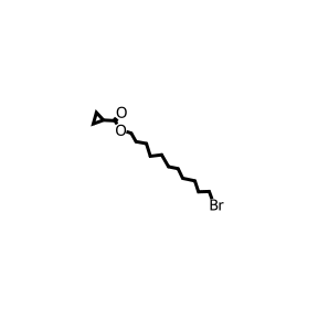 O=C(OCCCCCCCCCCCBr)C1CC1